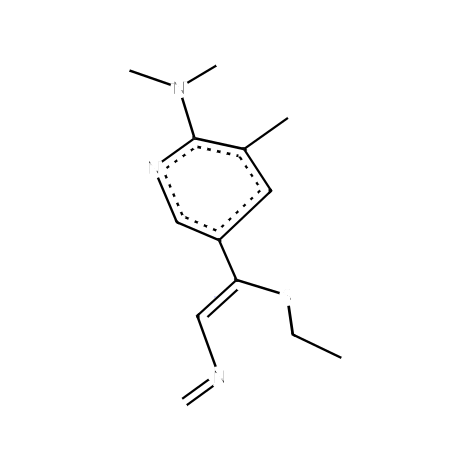 C=N/C=C(\SCC)c1cnc(N(C)C)c(C)c1